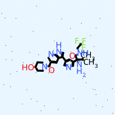 CC(C)[C@@](N)(C(=O)NCC(F)(F)F)c1cncc(-c2c[nH]c3ncc(C(=O)N4CCC(O)CC4)cc23)c1